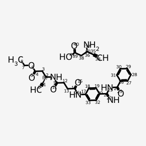 C#C[C@@H](CC(=O)OCC)NC(=O)CCC(=O)Nc1ccc(C(=N)NC(=O)c2ccccc2)cc1.C#C[C@H](N)CC(=O)O